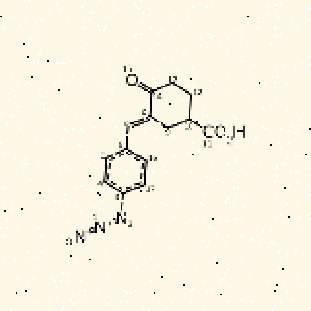 [N-]=[N+]=Nc1ccc(C=C2CC(C(=O)O)CCC2=O)cc1